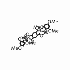 COc1cc(OC)c(S(=O)(=O)ON2C(=O)C3CC4C(=O)N(OS(=O)(=O)c5c(OC)cc(OC)cc5OC)C(=O)C4CC3C2=O)c(OC)c1